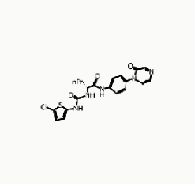 CCC[C@@H](NC(=O)Nc1ccc(Cl)s1)C(=O)Nc1ccc(-n2ccncc2=O)cc1